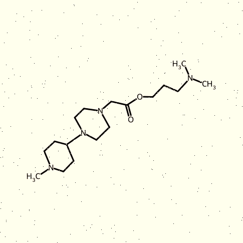 CN(C)CCCOC(=O)CN1CCN(C2CCN(C)CC2)CC1